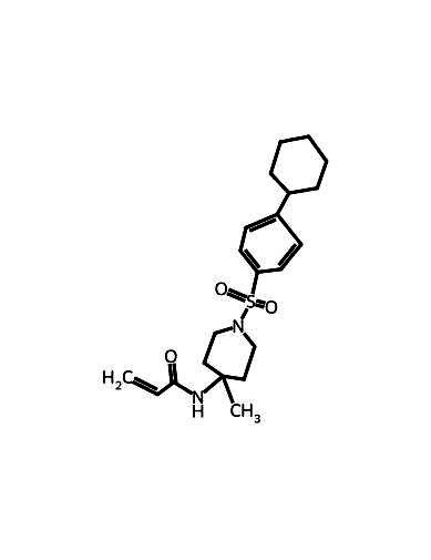 C=CC(=O)NC1(C)CCN(S(=O)(=O)c2ccc(C3CCCCC3)cc2)CC1